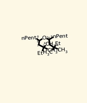 CCCCCC(CC(C)(C)CC)OC(CCCCC)CC(C)(C)CC